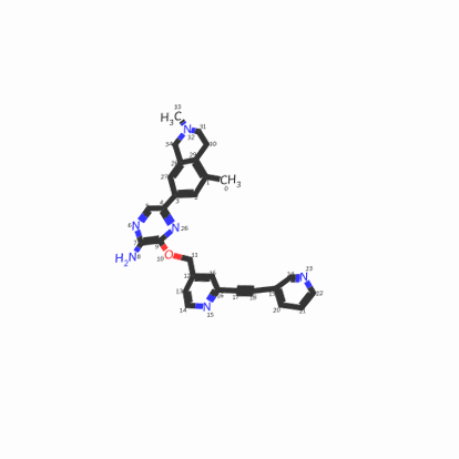 Cc1cc(-c2cnc(N)c(OCc3ccnc(C#Cc4cccnc4)c3)n2)cc2c1CCN(C)C2